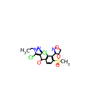 CCn1ncc(C(=O)c2ccc(S(C)(=O)=O)c(C3=NOCC3)c2Cl)c1Cl